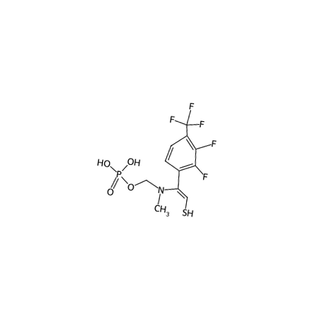 CN(COP(=O)(O)O)/C(=C\S)c1ccc(C(F)(F)F)c(F)c1F